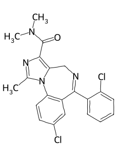 Cc1nc(C(=O)N(C)C)c2n1-c1ccc(Cl)cc1C(c1ccccc1Cl)=NC2